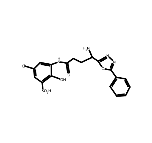 NC(CCC(=O)Nc1cc(Cl)cc(S(=O)(=O)O)c1O)c1nnc(-c2ccccc2)o1